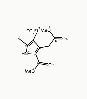 CCOC(=O)c1c(C)[nH]c(C(=O)OC)c1CC(=O)OC